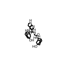 O=C(CNC(=O)c1cnc2c(c1N[C@H]1C3CC4CC1C[C@@](O)(C4)C3)CCN2)N[C@H]1C2CC3CC1C[C@@](O)(C3)C2